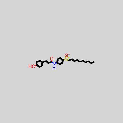 CCCCCCCC=CC[S+]([O-])c1ccc(NC(=O)C=Cc2ccc(O)cc2)cc1